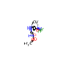 CCCC[C@@H](Nc1ccc(C(=O)NCCC(=O)OCC)cc1)c1ccc(-c2nnc(C(F)(F)F)o2)cc1